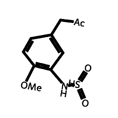 COc1ccc(CC(C)=O)cc1N[SH](=O)=O